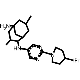 CC1CC2CC(N)(C1)CC(C)C2Nc1cnc(N2CCC(C(C)C)CC2)nc1